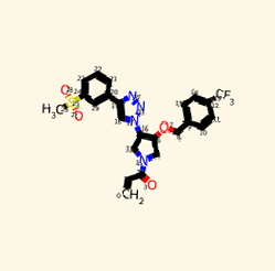 C=CC(=O)N1CC(OCc2ccc(C(F)(F)F)cc2)C(n2cc(-c3cccc(S(C)(=O)=O)c3)nn2)C1